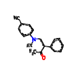 CCN(/C=C(\C(=O)C(F)(F)F)c1ccccc1)c1ccc(C#N)cc1